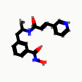 CCCC(Cc1cccc(C(=O)NO)c1)NC(=O)/C=C/c1cccnc1